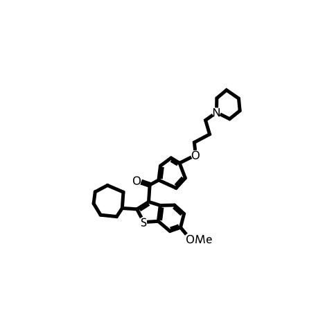 COc1ccc2c(C(=O)c3ccc(OCCCN4CCCCC4)cc3)c(C3CCCCCC3)sc2c1